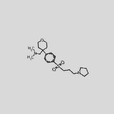 CN(C)CC1(c2ccc(S(=O)(=O)CCCN3CCCC3)cc2)CCOCC1